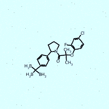 BC(B)(B)c1ccc(C2CCCN2C(=O)C(C)(C)Oc2ccc(Cl)cc2F)cc1